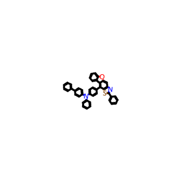 c1ccc(-c2ccc(N(c3ccccc3)c3ccc(-c4c5sc(-c6ccccc6)nc5cc5oc6ccccc6c45)cc3)cc2)cc1